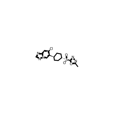 Cc1nnc(S(=O)(=O)[C@H]2CC[C@H](c3cn4ncnc4cc3Cl)CC2)o1